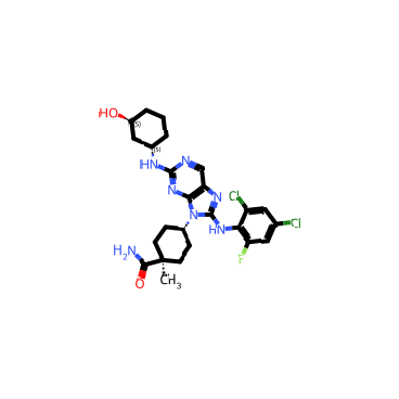 C[C@]1(C(N)=O)CC[C@H](n2c(Nc3c(F)cc(Cl)cc3Cl)nc3cnc(N[C@H]4CCC[C@H](O)C4)nc32)CC1